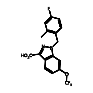 Cc1cc(F)ccc1Cn1nc(C(=O)O)c2ccc(OC(F)(F)F)cc21